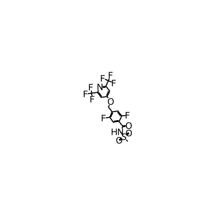 CS(=O)(=O)NC(=O)c1cc(F)c(COc2cc(C(F)(F)F)nc(C(F)(F)F)c2)cc1F